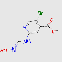 COC(=O)c1cc(N/C=N/O)ncc1Br